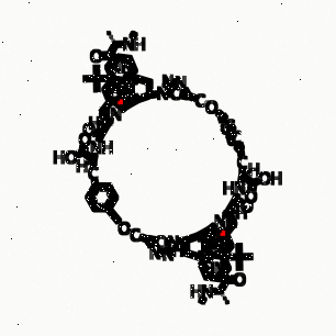 CN[C@@H](C)C(=O)N[C@H](C(=O)N1CCC2[C@H]1C(=O)N[C@@H](Cc1ccc3ccccc3c1)C(=O)N[C@H](C(=O)O)Cc1ccc(cc1)OCc1cn(nn1)[C@@H]1CCN(C(=O)[C@@H](NC(=O)[C@H](C)NC)C(C)(C)C)[C@@H]1C(=O)N[C@@H](Cc1ccc3ccccc3c1)C(=O)N[C@H](C(=O)O)Cc1ccc(cc1)OCc1cn2nn1)C(C)(C)C